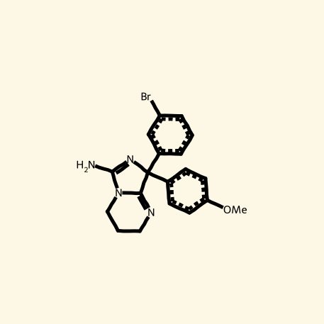 COc1ccc(C2(c3cccc(Br)c3)N=C(N)N3CCCN=C32)cc1